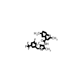 Cc1ccc2nc(C)cc(C(=O)Nc3c(C)nn(Cc4cc(F)cc(C(F)(F)F)c4)c3C)c2c1